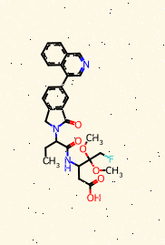 CCC(C(=O)NC(CC(=O)O)C(CF)(OC)OC)N1Cc2ccc(-c3cncc4ccccc34)cc2C1=O